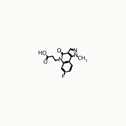 Cn1ncc2c(=O)n(CCC(=O)O)c3cc(F)ccc3c21